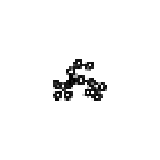 c1ccc(-c2cccc(-c3cccc(N(c4ccc(-c5ccc6c(c5)C(c5ccccc5)(c5ccccc5)c5ccccc5-6)cc4)c4ccc5c(c4)-c4ccccc4C5(c4ccccc4)c4ccccc4)c3)c2)cc1